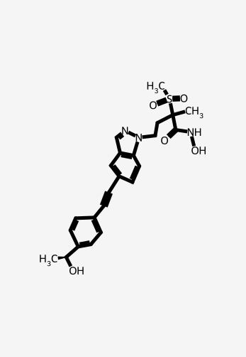 C[C@H](O)c1ccc(C#Cc2ccc3c(cnn3CCC(C)(C(=O)NO)S(C)(=O)=O)c2)cc1